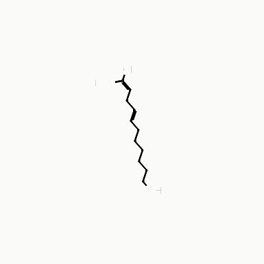 [CH2]CCCCCCC=CCC=C(C)C